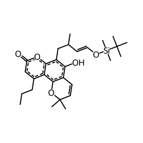 CCCc1cc(=O)oc2c(CC(C)C=CO[Si](C)(C)C(C)(C)C)c(O)c3c(c12)OC(C)(C)C=C3